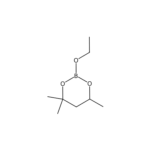 CCOB1OC(C)CC(C)(C)O1